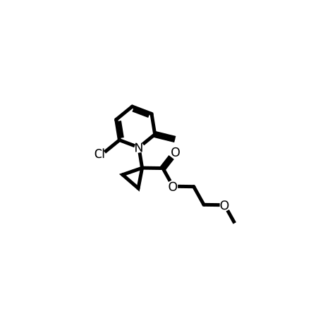 C=C1C=CC=C(Cl)N1C1(C(=O)OCCOC)CC1